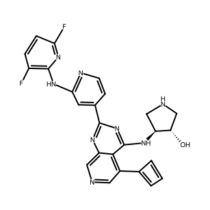 O[C@H]1CNC[C@@H]1Nc1nc(-c2ccnc(Nc3nc(F)ccc3F)c2)nc2cncc(C3=CC=C3)c12